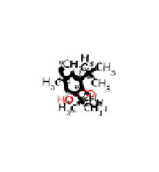 C=CC1(C)C=C(C(C)(C)C)C(OC)C(O)(C(C)(C)C)C1